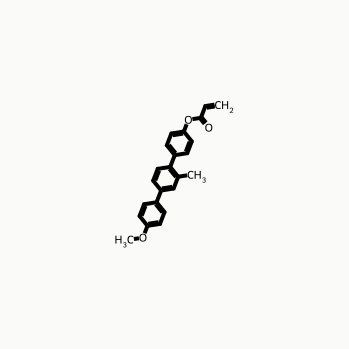 C=CC(=O)Oc1ccc(-c2ccc(-c3ccc(OC)cc3)cc2C)cc1